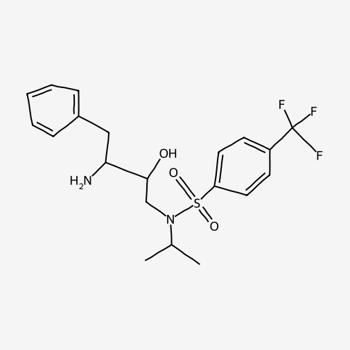 CC(C)N(CC(O)C(N)Cc1ccccc1)S(=O)(=O)c1ccc(C(F)(F)F)cc1